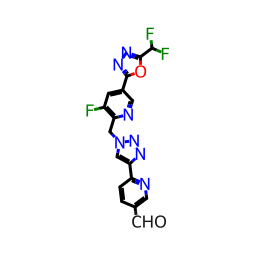 O=Cc1ccc(-c2cn(Cc3ncc(-c4nnc(C(F)F)o4)cc3F)nn2)nc1